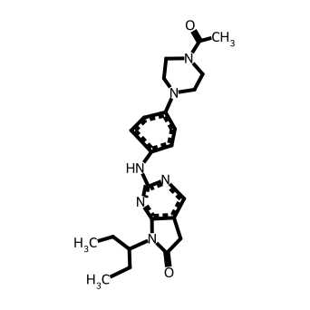 CCC(CC)N1C(=O)Cc2cnc(Nc3ccc(N4CCN(C(C)=O)CC4)cc3)nc21